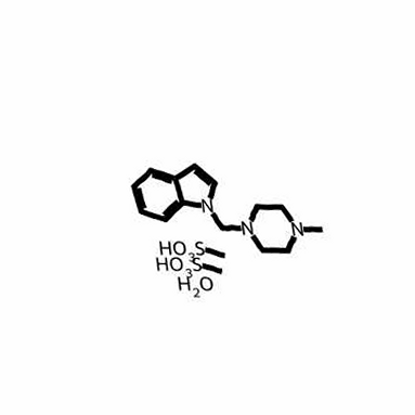 CN1CCN(Cn2ccc3ccccc32)CC1.CS(=O)(=O)O.CS(=O)(=O)O.O